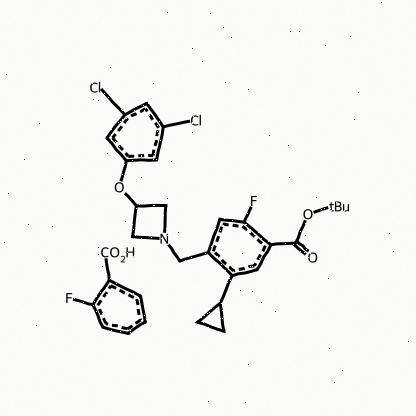 CC(C)(C)OC(=O)c1cc(C2CC2)c(CN2CC(Oc3cc(Cl)cc(Cl)c3)C2)cc1F.O=C(O)c1ccccc1F